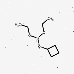 CCO[SiH](OCC)OC1CCC1